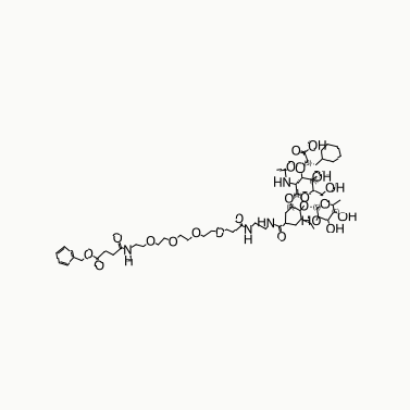 CCC1CC(C(=O)NCCNC(=O)CCOCCOCCOCCOCCNC(=O)CCC(=O)OCc2ccccc2)C[C@@H](O[C@@H]2OC(CO)[C@H](O)C(O[C@@H](CC3CCCCC3)C(=O)O)C2NC(C)=O)C1O[C@@H]1OC(C)[C@@H](O)C(O)C1O